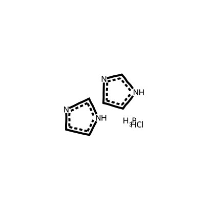 Cl.P.c1c[nH]cn1.c1c[nH]cn1